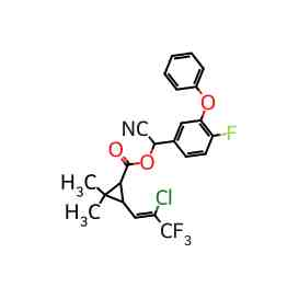 CC1(C)C(C=C(Cl)C(F)(F)F)C1C(=O)OC(C#N)c1ccc(F)c(Oc2ccccc2)c1